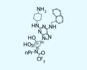 CCCN(C(=O)C(F)(F)F)[C@H]1C[C@@H](n2cnc3c(NCc4cccc5ccccc45)nc(NC4CCC(N)CC4)nc32)[C@H](O)[C@@H]1O